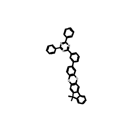 CC1(C)c2ccccc2-c2cc3c(cc21)Oc1ccc(-c2cccc(-c4nc(-c5ccccc5)nc(-c5ccccc5)n4)c2)cc1O3